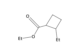 CCOC(=O)C1CCC1CC